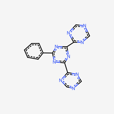 c1ccc(-c2nc(-c3ncncn3)nc(-c3ncncn3)n2)cc1